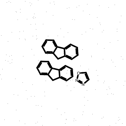 c1ccc2c(c1)Cc1ccccc1-2.c1ccc2c(c1)Cc1ccccc1-2.c1conn1